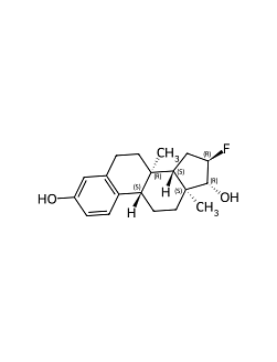 C[C@@]12CCc3cc(O)ccc3[C@H]1CC[C@@]1(C)[C@H]2C[C@@H](F)[C@@H]1O